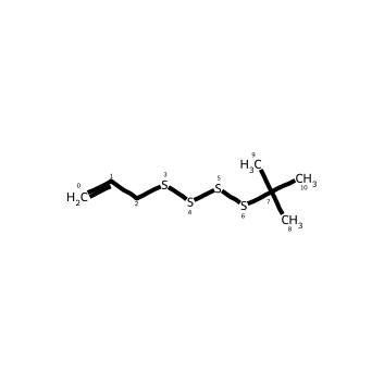 C=CCSSSSC(C)(C)C